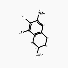 COc1cc2c(c(F)c1F)CC(OC)CC2